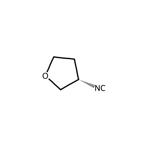 [C-]#[N+][C@H]1CCOC1